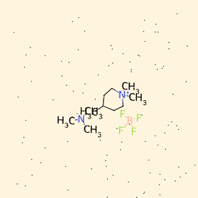 CC1CC[N+](C)(C)CC1.CN(C)C.F[B-](F)(F)F